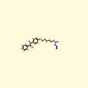 C=CCN(C)CCCCCCOc1ccc(N(C)C(=O)c2ccccc2)cc1